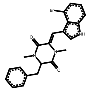 CN1C(=O)C(Cc2ccccc2)N(C)C(=O)C1=Cc1c[nH]c2cccc(Br)c12